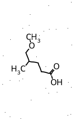 COCC(C)CCC(=O)O